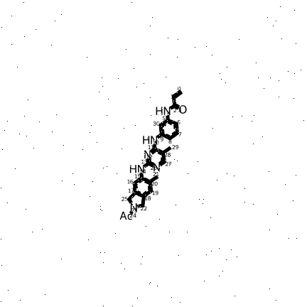 C=CC(=O)Nc1cccc(Nc2nc(Nc3cc4c(cc3C)CN(C(C)=O)C4)ncc2C)c1